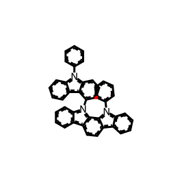 c1ccc(-n2c3ccccc3c3c(-n4c5ccccc5c5ccc6c7ccccc7n(-c7ccccc7)c6c54)cccc32)cc1